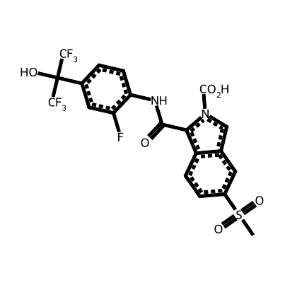 CS(=O)(=O)c1ccc2c(C(=O)Nc3ccc(C(O)(C(F)(F)F)C(F)(F)F)cc3F)n(C(=O)O)cc2c1